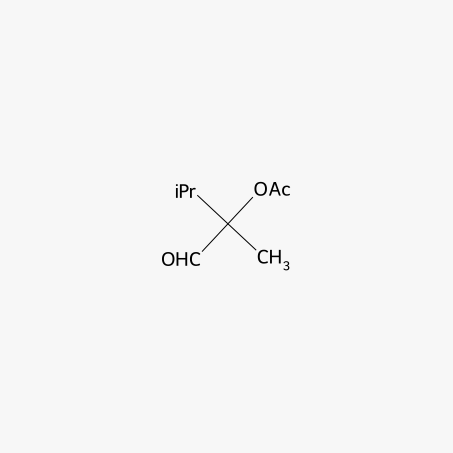 CC(=O)OC(C)(C=O)C(C)C